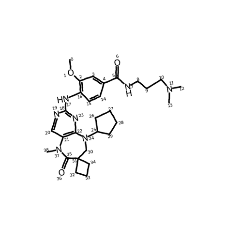 COc1cc(C(=O)NCCCN(C)C)ccc1Nc1ncc2c(n1)N(C1CCCC1)CC1(CCC1)C(=O)N2C